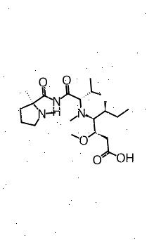 CC[C@H](C)[C@@H]([C@@H](CC(=O)O)OC)N(C)[C@H](C(=O)NC(=O)[C@]1(C)CCCN1C)C(C)C